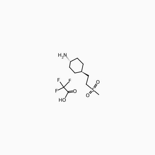 CS(=O)(=O)CC[C@H]1CC[C@H](N)CC1.O=C(O)C(F)(F)F